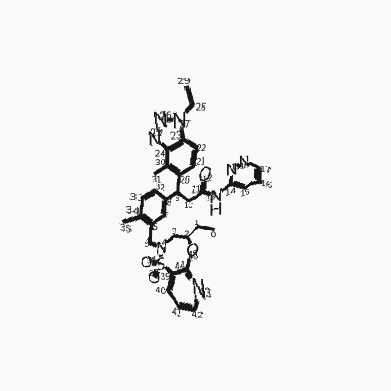 CC[C@@H]1CN(Cc2cc(C(CC(=O)Nc3cccnn3)c3ccc4c(nnn4CC)c3C)ccc2C)S(=O)(=O)c2cccnc2O1